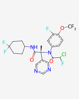 C[C@](C(=O)NC1CCC(F)(F)CC1)(c1cncnc1)N(C(=O)[C@H](F)Cl)c1ccc(OC(F)(F)F)c(F)c1